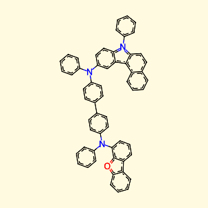 c1ccc(N(c2ccc(-c3ccc(N(c4ccccc4)c4cccc5c4oc4ccccc45)cc3)cc2)c2ccc3c(c2)c2c4ccccc4ccc2n3-c2ccccc2)cc1